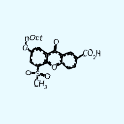 CCCCCCCCOc1cc(S(C)(=O)=O)c2oc3ccc(C(=O)O)cc3c(=O)c2c1